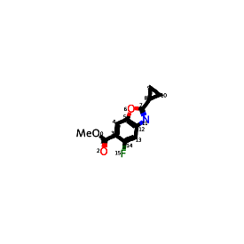 COC(=O)c1cc2oc(C3CC3)nc2cc1F